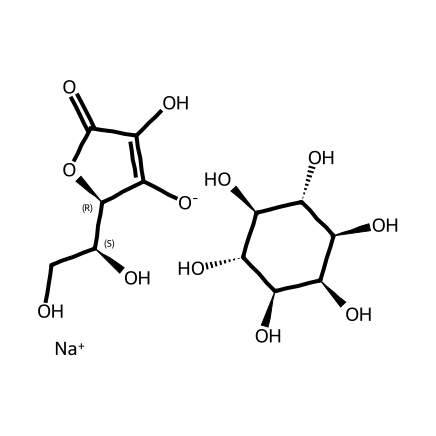 O=C1O[C@H]([C@@H](O)CO)C([O-])=C1O.O[C@H]1[C@H](O)[C@@H](O)[C@H](O)[C@@H](O)[C@H]1O.[Na+]